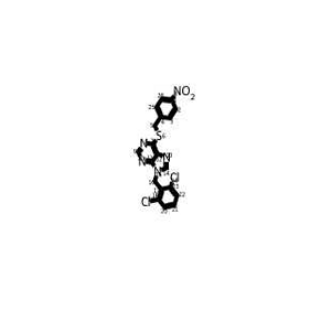 O=[N+]([O-])c1ccc(CSc2ncnc3c2ncn3Cc2c(Cl)cccc2Cl)cc1